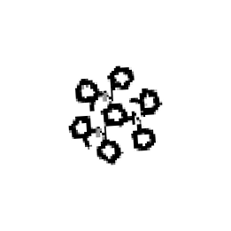 Cc1ccccc1N(c1ccccc1)c1cc(N(c2ccccc2)c2ccccc2C)cc(N(c2ccccc2)c2ccccc2C)c1